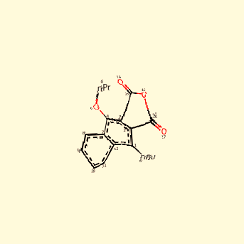 CCCCc1c2c(c(OCCC)c3ccccc13)C(=O)OC2=O